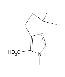 Cn1nc2c(c1C(=O)O)CCC2(C)C